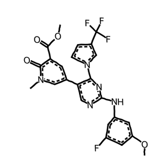 COC(=O)c1cc(-c2cnc(Nc3cc(F)cc(OC)c3)nc2-n2ccc(C(F)(F)F)c2)cn(C)c1=O